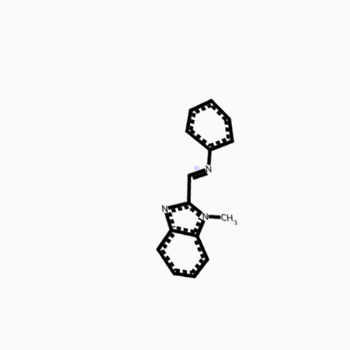 Cn1c(/C=N/c2ccccc2)nc2ccccc21